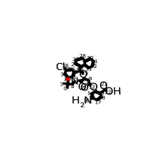 CC(C)(C)CN1C(=O)C(CC(=O)Oc2cc(N)ccc2C(=O)O)OC(c2cccc3ccccc23)c2cc(Cl)ccc21